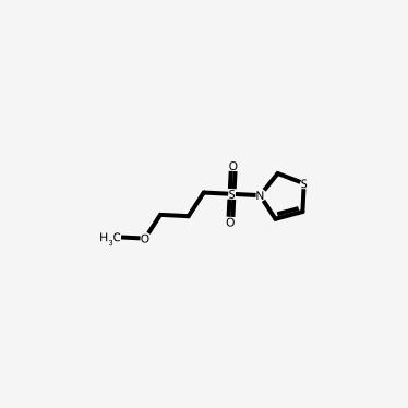 COCCCS(=O)(=O)N1C=CSC1